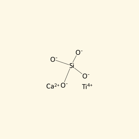 [Ca+2].[O-][Si]([O-])([O-])[O-].[Ti+4]